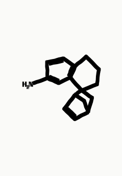 Nc1ccc2c(c1)C1(CCC2)CC2C=CC1C2